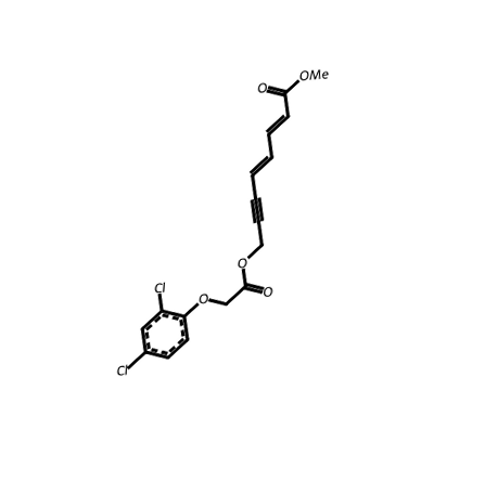 COC(=O)C=CC=CC#CCOC(=O)COc1ccc(Cl)cc1Cl